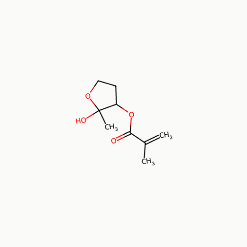 C=C(C)C(=O)OC1CCOC1(C)O